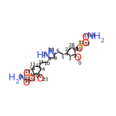 COc1cc(/C=C/c2cc(/C=C/c3ccc(OS(N)(=O)=O)c(OC)c3)[nH]n2)ccc1OSOON